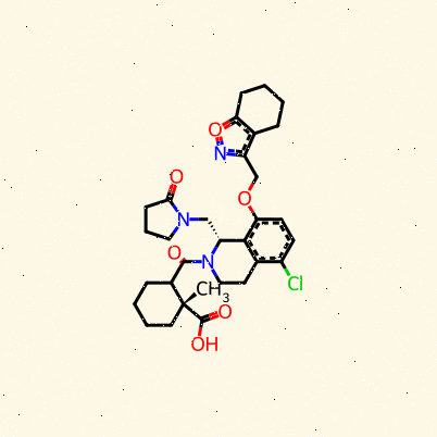 C[C@@]1(C(=O)O)CCCCC1C(=O)N1CCc2c(Cl)ccc(OCc3noc4c3CCCC4)c2[C@H]1CN1CCCC1=O